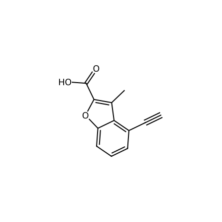 C#Cc1cccc2oc(C(=O)O)c(C)c12